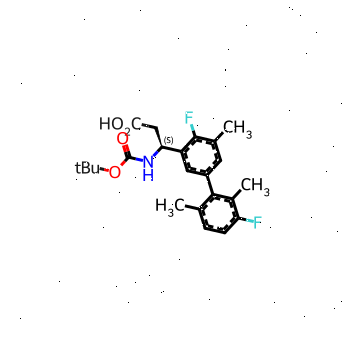 Cc1cc(-c2c(C)ccc(F)c2C)cc([C@H](CC(=O)O)NC(=O)OC(C)(C)C)c1F